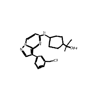 CC(C)(O)C1CCC(Nc2ccn3ncc(-c4cccc(Cl)c4)c3n2)CC1